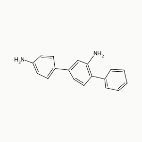 Nc1ccc(-c2ccc(-c3ccccc3)c(N)c2)cc1